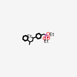 CCOP(=O)(Cc1ccc(C(CC)CC(C)c2ccccc2)cc1)OCC